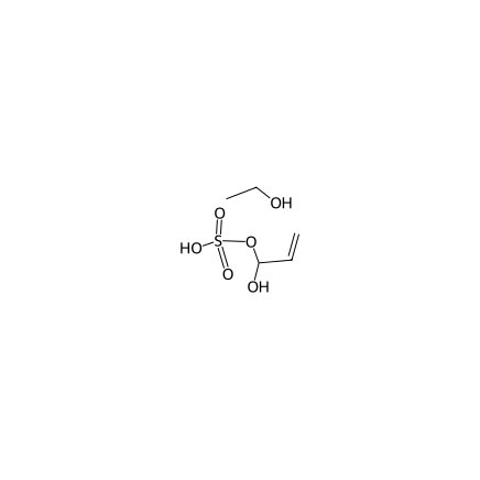 C=CC(O)OS(=O)(=O)O.CCO